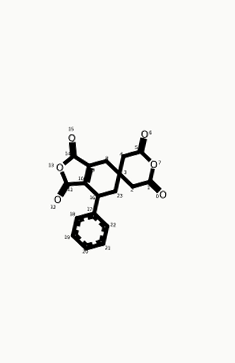 O=C1CC2(CC(=O)O1)CC1=C(C(=O)OC1=O)C(c1ccccc1)C2